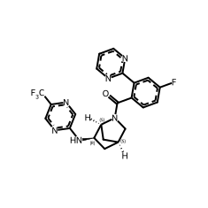 O=C(c1ccc(F)cc1-c1ncccn1)N1C[C@H]2C[C@@H](Nc3cnc(C(F)(F)F)cn3)[C@@H]1C2